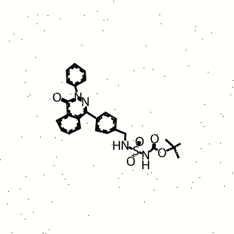 CC(C)(C)OC(=O)NS(=O)(=O)NCc1ccc(-c2nn(-c3ccccc3)c(=O)c3ccccc23)cc1